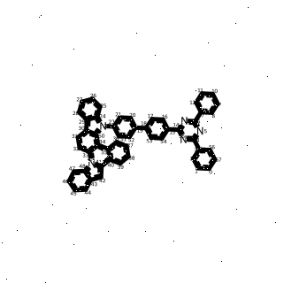 c1ccc(-c2nc(-c3ccccc3)nc(-c3ccc(-c4ccc(-n5c6ccccc6c6ccc7c(c8ccccc8c8cc9ccccc9n87)c65)cc4)cc3)n2)cc1